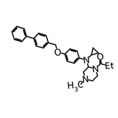 CCC(=O)N1CCN(C)CC1N(c1ccc(OCc2ccc(-c3ccccc3)cc2)cc1)C1CC1